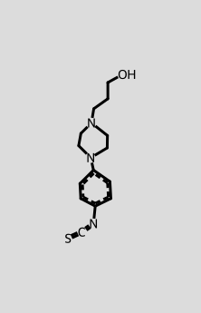 OCCCN1CCN(c2ccc(N=C=S)cc2)CC1